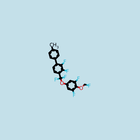 Cc1ccc(-c2ccc(C(F)(F)Oc3cc(F)c(OCF)c(F)c3)c(F)c2F)cc1